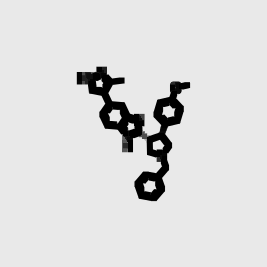 COc1ccc([C@H]2CN(Cc3ccccc3)C[C@@H]2c2nc3cc(-c4c[nH]nc4C)ccc3[nH]2)cc1